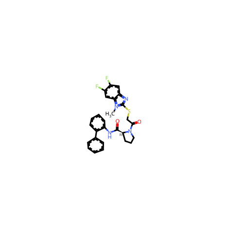 Cn1c(SCC(=O)N2CCC[C@H]2C(=O)Nc2ccccc2-c2ccccc2)nc2cc(F)c(F)cc21